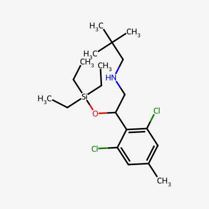 CC[Si](CC)(CC)OC(CNCC(C)(C)C)c1c(Cl)cc(C)cc1Cl